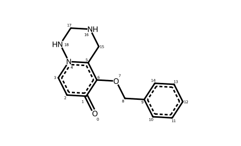 O=c1ccn2c(c1OCc1ccccc1)CNCN2